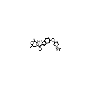 CC1CN(C(=O)c2cc3cc(OC4CCN(C(C)C)C4)ccc3[nH]2)CC(C)O1